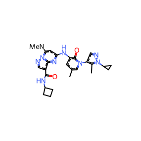 CNc1cc(Nc2cc(C)cn(-c3cnn(C4CC4)c3C)c2=O)nc2c(C(=O)NC3CCC3)cnn12